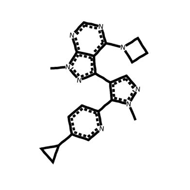 Cn1ncc(-c2nn(C)c3ncnc(N4CCC4)c23)c1-c1ccc(C2CC2)cn1